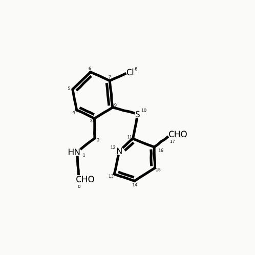 O=CNCc1cccc(Cl)c1Sc1ncccc1C=O